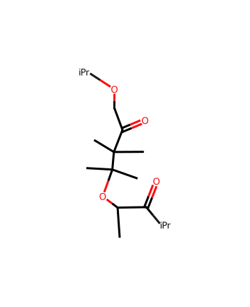 CC(C)OCC(=O)C(C)(C)C(C)(C)OC(C)C(=O)C(C)C